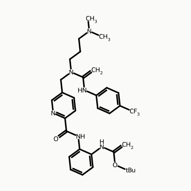 C=C(Nc1ccccc1NC(=O)c1ccc(CN(CCCN(C)C)C(=C)Nc2ccc(C(F)(F)F)cc2)cn1)OC(C)(C)C